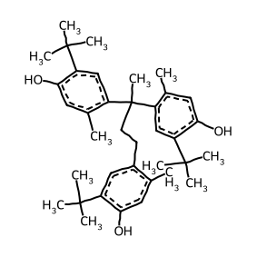 Cc1cc(O)c(C(C)(C)C)cc1CCC(C)(c1cc(C(C)(C)C)c(O)cc1C)c1cc(C(C)(C)C)c(O)cc1C